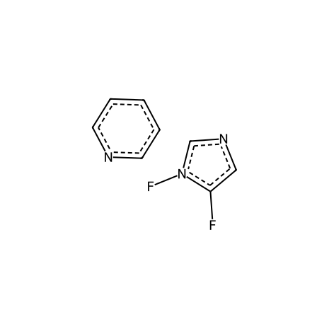 Fc1cncn1F.c1ccncc1